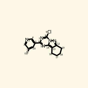 Fc1cncc(-c2nc(Cl)n3nc4c(c3n2)CCCC4)c1